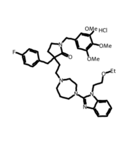 CCOCCn1c(N2CCCN(CCC3(Cc4ccc(F)cc4)CCN(Cc4cc(OC)c(OC)c(OC)c4)C3=O)CC2)nc2ccccc21.Cl